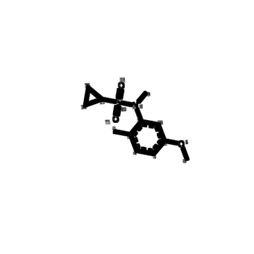 COc1ccc(C)c(N(C)S(=O)(=O)C2CC2)c1